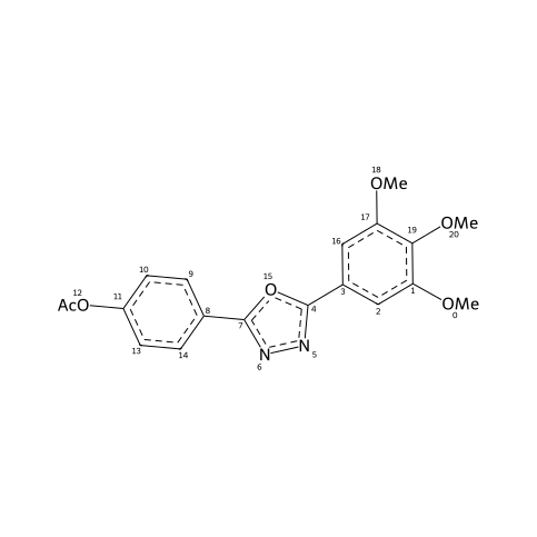 COc1cc(-c2nnc(-c3ccc(OC(C)=O)cc3)o2)cc(OC)c1OC